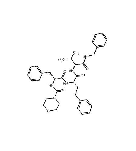 CC(C)[C@H](NC(=O)[C@H](CCc1ccccc1)NC(=O)[C@H](Cc1ccccc1)NC(=O)N1CCOCC1)C(=O)NCc1ccccc1